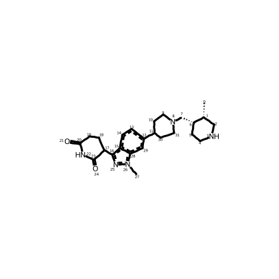 C[C@@H]1CNCC[C@@H]1CN1CCC(c2ccc3c(C4CCC(=O)NC4=O)nn(C)c3c2)CC1